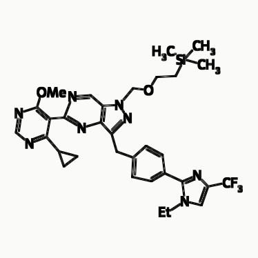 CCn1cc(C(F)(F)F)nc1-c1ccc(Cc2nn(COCC[Si](C)(C)C)c3cnc(-c4c(OC)ncnc4C4CC4)nc23)cc1